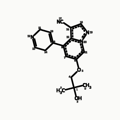 CC(C)(O)COc1cc(C2=CCN=CC2)c2c(C#N)cnn2c1